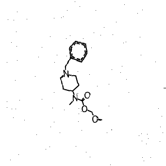 COCOC(=O)N(C)C1CCN(Cc2ccccc2)CC1